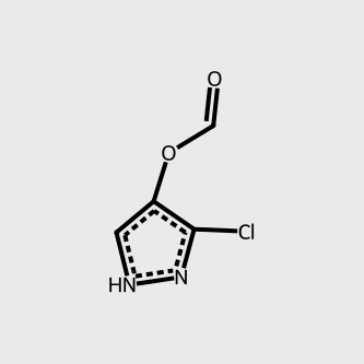 O=COc1c[nH]nc1Cl